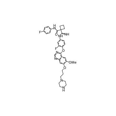 COc1cc2c(Oc3ccc(NC(=N)C4(C(=O)Nc5ccc(F)cc5)CCC4)cc3F)ncnc2cc1OCCCN1CCNCC1